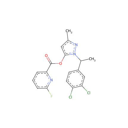 Cc1cc(OC(=O)c2cccc(F)n2)n(C(C)c2ccc(Cl)c(Cl)c2)n1